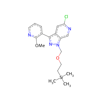 COc1ncccc1-c1nn(COCC[Si](C)(C)C)c2cnc(Cl)cc12